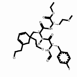 CCOC(=O)[C@H](CCSC)NC(=O)[C@H](CC1(CCCl)C=CC=C(CCCl)C1)N(N)C(=O)[C@H](Cc1ccc(F)cc1)NC=O